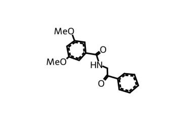 COc1cc(OC)cc(C(=O)NCC(=O)c2ccccc2)c1